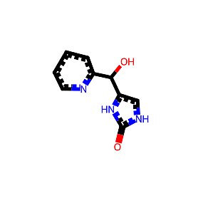 O=c1[nH]cc(C(O)c2ccccn2)[nH]1